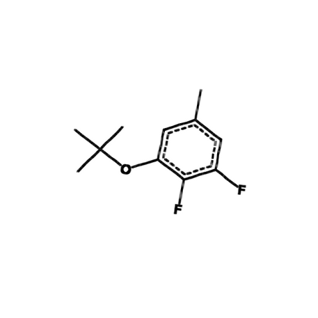 Cc1cc(F)c(F)c(OC(C)(C)C)c1